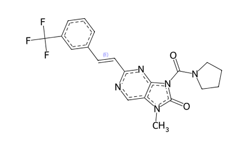 Cn1c(=O)n(C(=O)N2CCCC2)c2nc(/C=C/c3cccc(C(F)(F)F)c3)ncc21